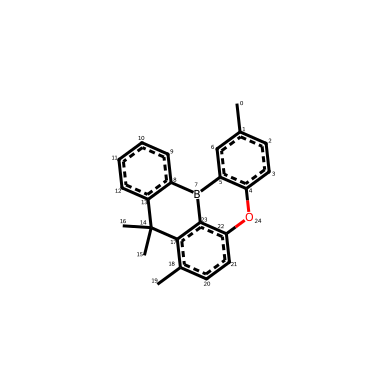 Cc1ccc2c(c1)B1c3ccccc3C(C)(C)c3c(C)ccc(c31)O2